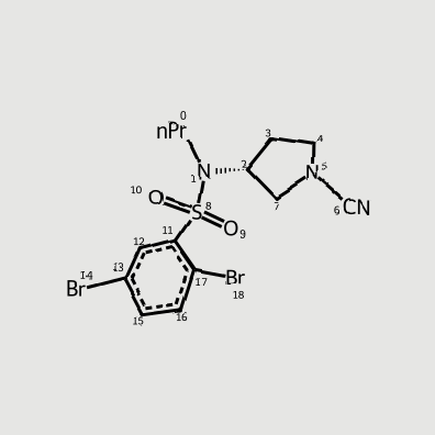 CCCN([C@@H]1CCN(C#N)C1)S(=O)(=O)c1cc(Br)ccc1Br